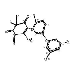 C=C1C(=O)C(C)(C)C(=O)C(c2cc(-c3cc(Cl)cc(Cl)c3)ccc2C)=C1O